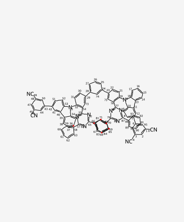 N#Cc1cc(C#N)cc(-c2ccc3c(c2)c2ccccc2n3-c2ccc(-c3cccc(-c4ccc(-n5c6ccccc6c6cc(-c7cc(C#N)cc(C#N)c7)ccc65)c(-c5nc(-c6ccccc6)nc(-c6ccccc6)n5)c4)c3)cc2-c2nc(-c3ccccc3)nc(-c3ccccc3)n2)c1